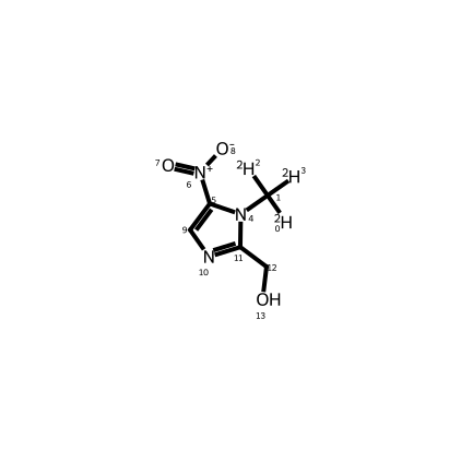 [2H]C([2H])([2H])n1c([N+](=O)[O-])cnc1CO